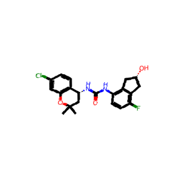 CC1(C)C[C@@H](NC(=O)Nc2ccc(F)c3c2C[C@H](O)C3)c2ccc(Cl)cc2O1